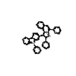 c1ccc(-c2nn3c(-c4ccccc4)cc4ccccc4c3c2-c2ccc3c4ccccc4n(-c4ccccc4)c3c2)cc1